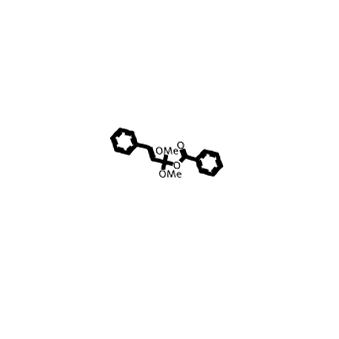 COC(/C=C/c1ccccc1)(OC)OC(=O)c1ccccc1